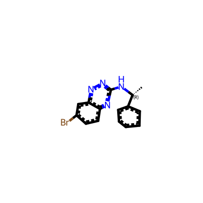 C[C@@H](Nc1nnc2cc(Br)ccc2n1)c1ccccc1